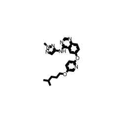 CC(C)CCCOc1ccc(Oc2ccc3ncnc(Nc4cnn(C)n4)c3c2)nc1